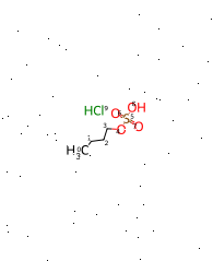 CCCCOS(=O)(=O)O.Cl